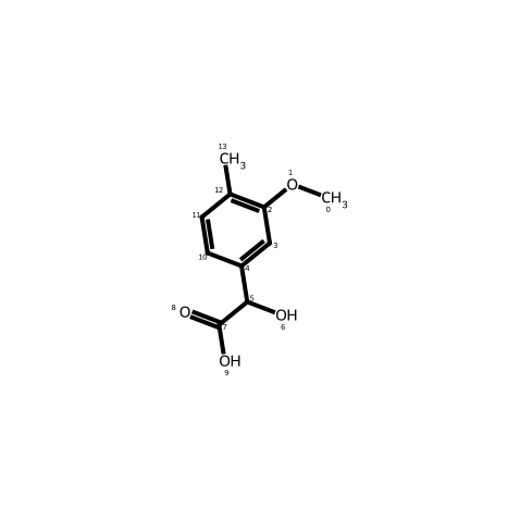 COc1cc(C(O)C(=O)O)ccc1C